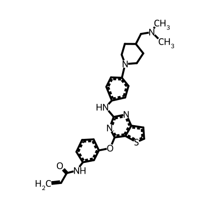 C=CC(=O)Nc1cccc(Oc2nc(Nc3ccc(N4CCC(CN(C)C)CC4)cc3)nc3ccsc23)c1